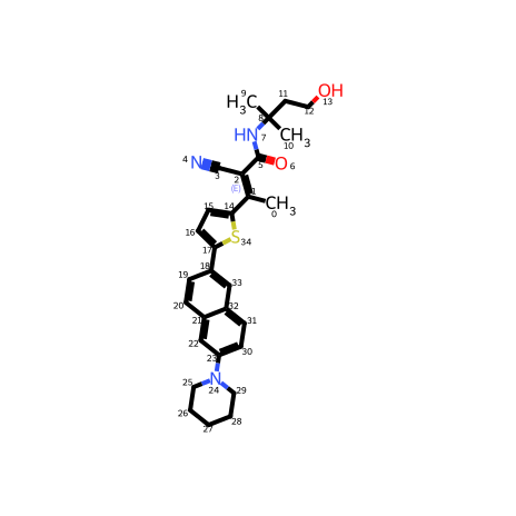 C/C(=C(/C#N)C(=O)NC(C)(C)CCO)c1ccc(-c2ccc3cc(N4CCCCC4)ccc3c2)s1